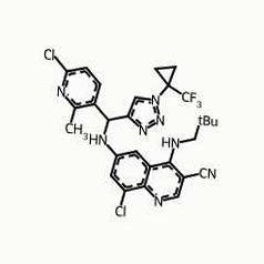 Cc1nc(Cl)ccc1C(Nc1cc(Cl)c2ncc(C#N)c(NCC(C)(C)C)c2c1)c1cn(C2(C(F)(F)F)CC2)nn1